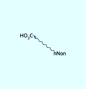 CCCCCCCCCCCCCCCCCC/C=C/C(=O)O